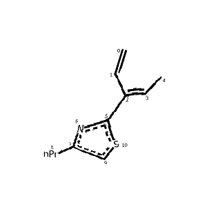 C=C/C(=C\C)c1nc(CCC)cs1